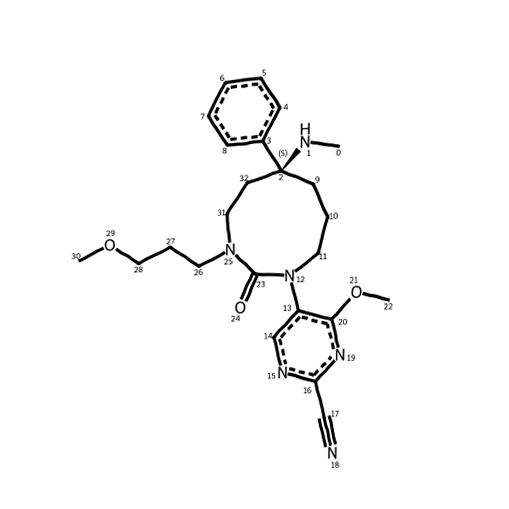 CN[C@@]1(c2ccccc2)CCCN(c2cnc(C#N)nc2OC)C(=O)N(CCCOC)CC1